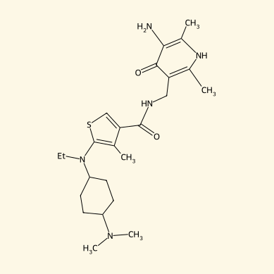 CCN(c1scc(C(=O)NCc2c(C)[nH]c(C)c(N)c2=O)c1C)C1CCC(N(C)C)CC1